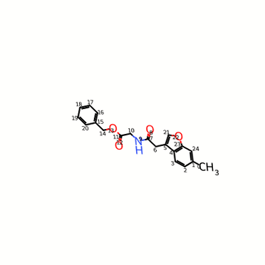 Cc1ccc2c(CC(=O)NCC(=O)OCc3ccccc3)coc2c1